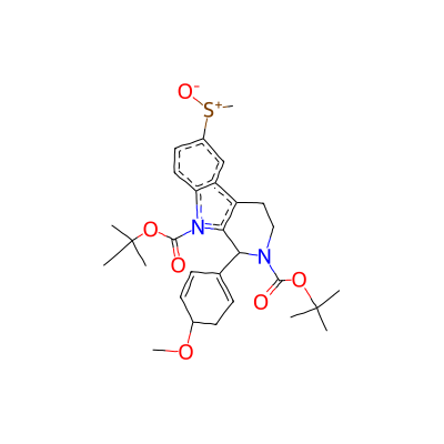 COC1C=CC(C2c3c(c4cc([S+](C)[O-])ccc4n3C(=O)OC(C)(C)C)CCN2C(=O)OC(C)(C)C)=CC1